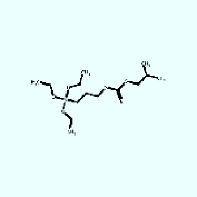 CCO[Si](CCCSC(=S)SCC(C)C)(OCC)OCC